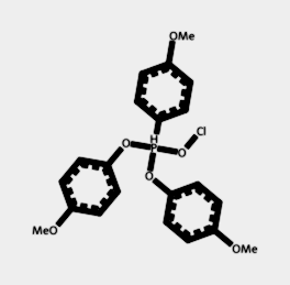 COc1ccc(O[PH](OCl)(Oc2ccc(OC)cc2)c2ccc(OC)cc2)cc1